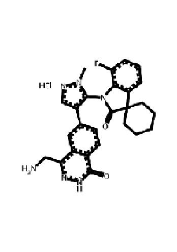 Cl.Cn1ncc(-c2ccc3c(=O)[nH]nc(CN)c3c2)c1N1C(=O)C2(CCCCC2)c2cccc(F)c21